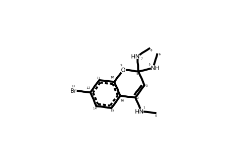 CNC1=CC(NC)(NC)Oc2cc(Br)ccc21